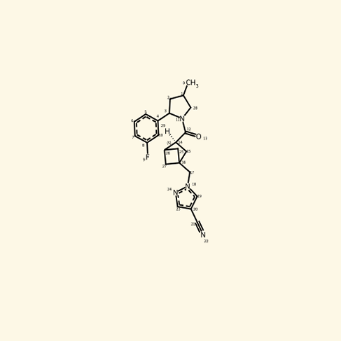 CC1CC(c2cccc(F)c2)N(C(=O)[C@H]2CC3(Cn4cc(C#N)cn4)CC2C3)C1